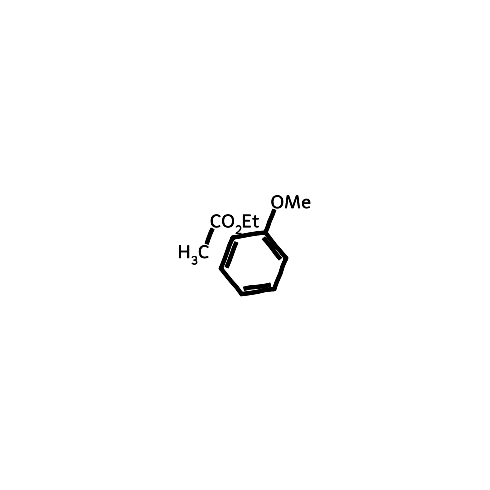 CCOC(C)=O.COc1ccccc1